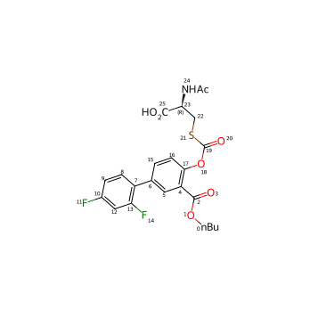 CCCCOC(=O)c1cc(-c2ccc(F)cc2F)ccc1OC(=O)SC[C@H](NC(C)=O)C(=O)O